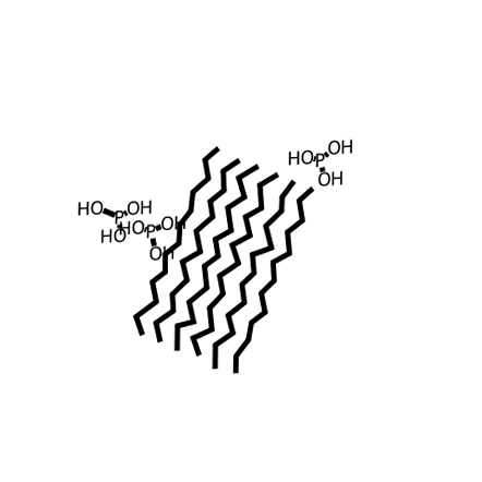 CCCCCCCCCCCCC.CCCCCCCCCCCCC.CCCCCCCCCCCCC.CCCCCCCCCCCCC.CCCCCCCCCCCCC.CCCCCCCCCCCCC.OP(O)O.OP(O)O.OP(O)O